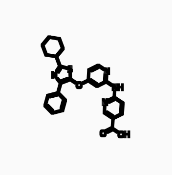 O=C(O)c1ccc(Nc2cc(Oc3sc(C4CCCCC4)nc3-c3ccccc3)ccn2)nc1